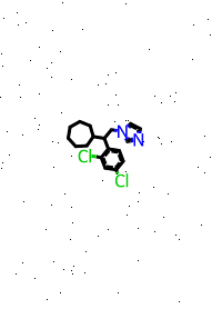 Clc1ccc(C(Cn2ccnc2)C2CCCCCC2)c(Cl)c1